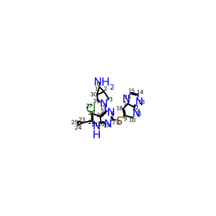 NC1C2CN(c3nc(Sc4cnc5nccnc5c4)nc4[nH]c(C5CC5)c(Cl)c34)CC12